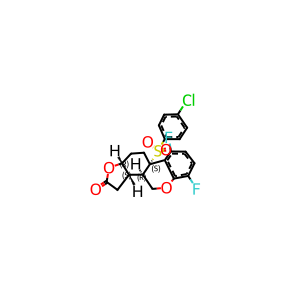 O=C1C[C@@H]2[C@@H](CC[C@@]3(S(=O)(=O)c4ccc(Cl)cc4)c4c(F)ccc(F)c4OC[C@@H]23)O1